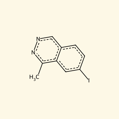 Cc1nncc2ccc(I)cc12